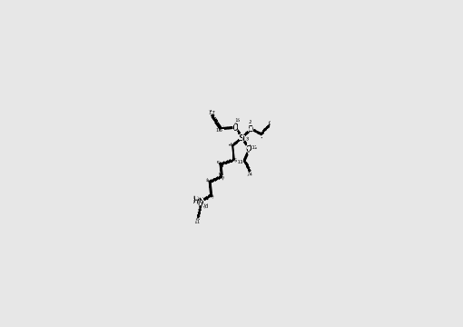 CCO[Si](CCCCCCNC)(OCC)OCC